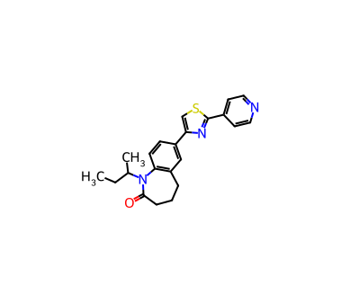 CCC(C)N1C(=O)CCCc2cc(-c3csc(-c4ccncc4)n3)ccc21